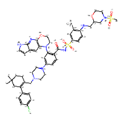 CC1(C)CCC(CN2CCN(c3ccc(C(=O)NS(=O)(=O)c4ccc(NCC5CN(S(C)(=O)=O)CCO5)c([N+](=O)[O-])c4)c(N4CCOc5nc6[nH]ccc6cc54)c3)CC2)=C(c2ccc(Cl)cc2)C1